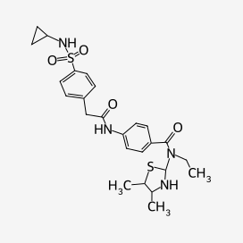 CCN(C(=O)c1ccc(NC(=O)Cc2ccc(S(=O)(=O)NC3CC3)cc2)cc1)C1NC(C)C(C)S1